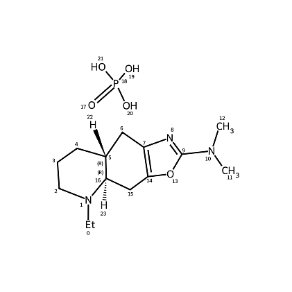 CCN1CCC[C@@H]2Cc3nc(N(C)C)oc3C[C@H]21.O=P(O)(O)O